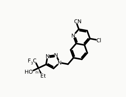 CC[C@](O)(c1cn(Cc2ccc3c(Cl)cc(C#N)nc3c2)nn1)C(F)(F)F